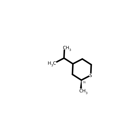 CC(C)C1CCS[C@@H](C)C1